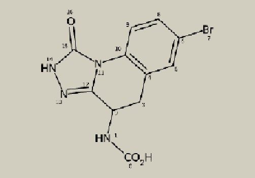 O=C(O)NC1Cc2cc(Br)ccc2-n2c1n[nH]c2=O